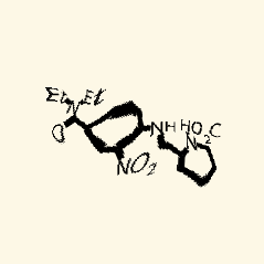 CCN(CC)C(=O)c1ccc(NCC2CCCCN2C(=O)O)c([N+](=O)[O-])c1